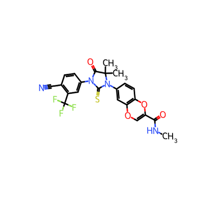 CNC(=O)C1=COc2cc(N3C(=S)N(c4ccc(C#N)c(C(F)(F)F)c4)C(=O)C3(C)C)ccc2O1